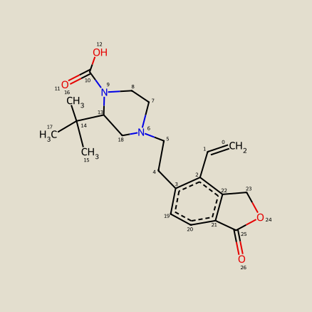 C=Cc1c(CCN2CCN(C(=O)O)C(C(C)(C)C)C2)ccc2c1COC2=O